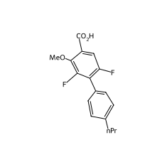 CCCc1ccc(-c2c(F)cc(C(=O)O)c(OC)c2F)cc1